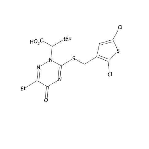 CCc1nn(C(C(=O)O)C(C)(C)C)c(SCc2cc(Cl)sc2Cl)nc1=O